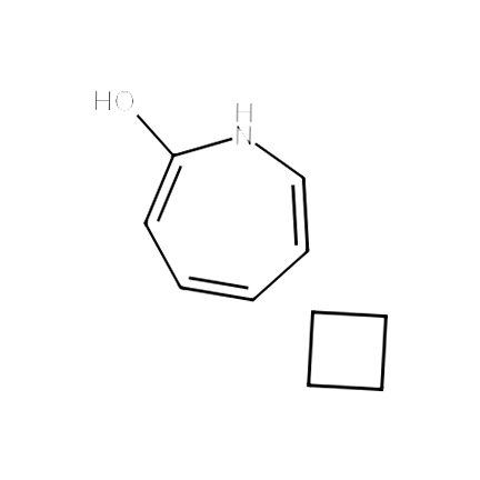 C1CCC1.OC1=CC=CC=CN1